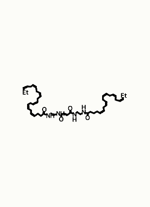 CC/C=C\C/C=C\C/C=C\C/C=C\C/C=C\C/C=C\CCC(=O)NCCNC(=O)/C=C/C(=O)NCCNC(=O)CCC/C=C\C/C=C\C/C=C\C/C=C\C/C=C\CC